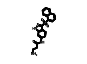 NCCC(=O)Nc1ccc2c(S(=O)(=O)c3cccc4ccccc34)n[nH]c2c1